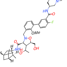 COc1c(CN2O[C@@H](CO)C(C(C)O)[C@H]2C(=O)N[C@H]2C[C@H]3C[C@@H]([C@@H]2C)C3(C)C)cccc1-c1ccc(F)c(C(=O)N[C@@H](CC(C)C)CN(C)C)c1